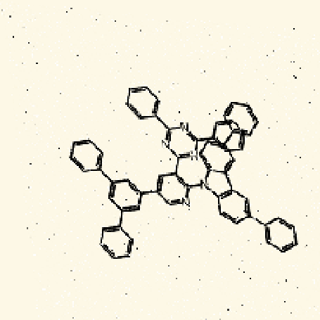 c1ccc(-c2cc(-c3ccccc3)cc(-c3cnc(-n4c5ccc(-c6ccccc6)cc5c5cc(-c6ccccc6)ccc54)c(-c4nc(-c5ccccc5)nc(-c5ccccc5)n4)c3)c2)cc1